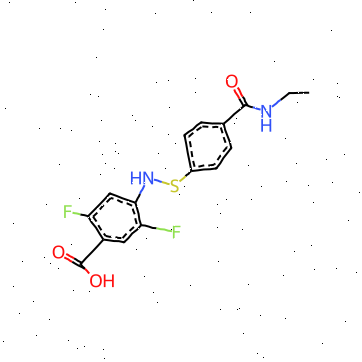 CCNC(=O)c1ccc(SNc2cc(F)c(C(=O)O)cc2F)cc1